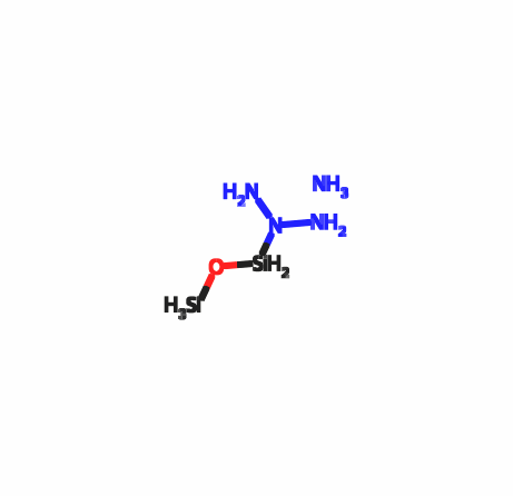 N.NN(N)[SiH2]O[SiH3]